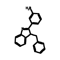 Bc1cccc(C2=Nc3ccccc3C2Cc2ccccc2)c1